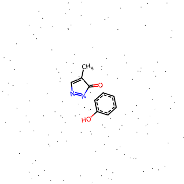 CC1=CN=NC1=O.Oc1ccccc1